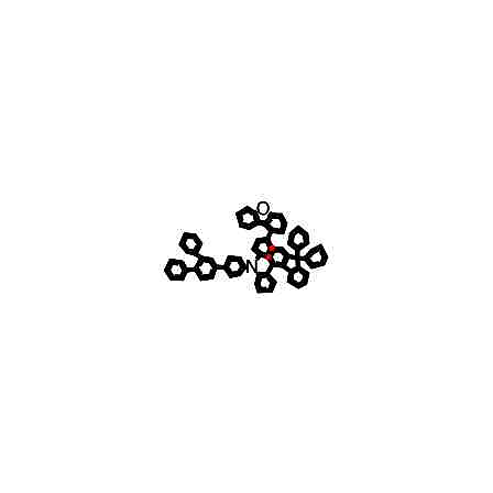 c1ccc(-c2ccc(-c3ccc(N(c4ccc(-c5cccc6oc7ccccc7c56)cc4)c4ccccc4-c4cccc5c4-c4ccccc4C5(c4ccccc4)c4ccccc4)cc3)cc2-c2ccccc2)cc1